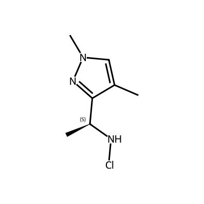 Cc1cn(C)nc1[C@H](C)NCl